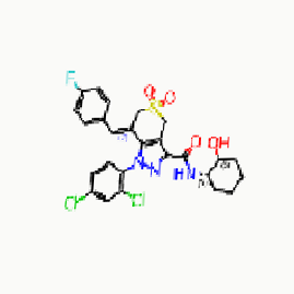 O=C(N[C@H]1CCCC[C@@H]1O)c1nn(-c2ccc(Cl)cc2Cl)c2c1CS(=O)(=O)C/C2=C\c1ccc(F)cc1